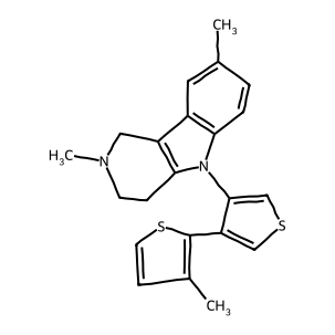 Cc1ccc2c(c1)c1c(n2-c2cscc2-c2sccc2C)CCN(C)C1